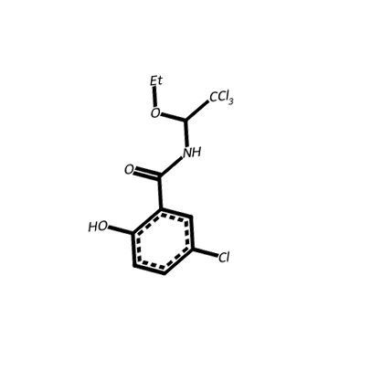 CCOC(NC(=O)c1cc(Cl)ccc1O)C(Cl)(Cl)Cl